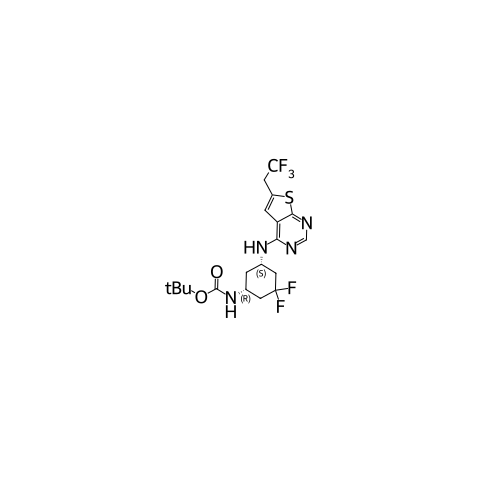 CC(C)(C)OC(=O)N[C@@H]1C[C@H](Nc2ncnc3sc(CC(F)(F)F)cc23)CC(F)(F)C1